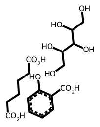 O=C(O)CCCCC(=O)O.O=C(O)c1ccccc1O.OCC(O)C(O)C(O)CO